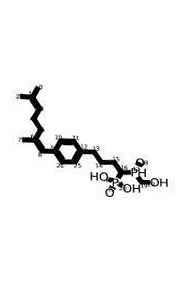 CC(C)=CCCC(C)=Cc1ccc(CCCC([PH](=O)CO)P(=O)(O)O)cc1